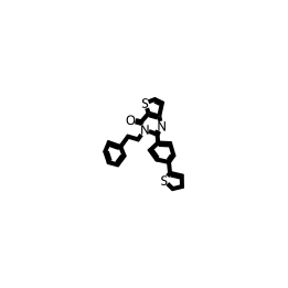 O=c1c2sccc2nc(-c2ccc(C3=CCCS3)cc2)n1CCc1ccccc1